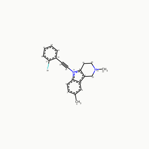 Cc1ccc2c(c1)c1c(n2C#Cc2ccccc2F)CCN(C)C1